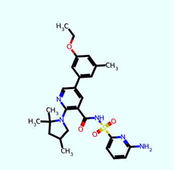 CCOc1cc(C)cc(-c2cnc(N3CC(C)CC3(C)C)c(C(=O)NS(=O)(=O)c3cccc(N)n3)c2)c1